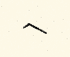 [CH2]CCCCCCCCCC=CCCCCCCCCCC(C)CCCCCC[CH2]